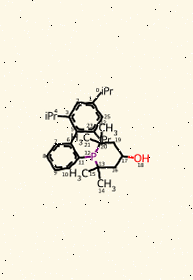 CC(C)c1cc(C(C)C)c(-c2ccccc2P2C(C)(C)CC(O)CC2(C)C)c(C(C)C)c1